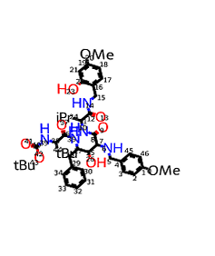 COc1ccc(CNC(C(=O)NC(C(=O)NCc2ccc(OC)cc2O)C(C)C)C(O)C(Cc2ccccc2)NC(=O)C(NC(=O)OC(C)(C)C)C(C)(C)C)cc1